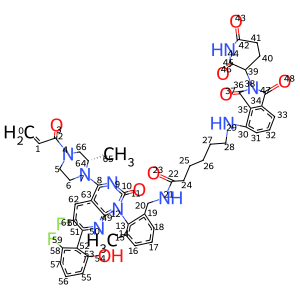 C=CC(=O)N1CCN(c2nc(=O)n(-c3c(C)cccc3CNC(=O)CCCCCNc3cccc4c3C(=O)N(C3CCC(=O)NC3=O)C4=O)c3nc(-c4c(O)cccc4F)c(F)cc23)[C@@H](C)C1